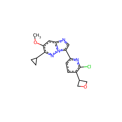 COc1cc2ncc(-c3ccc(C4COC4)c(Cl)n3)n2nc1C1CC1